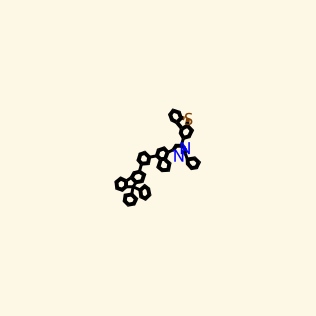 c1ccc(-c2nc(-c3ccc4sc5ccccc5c4c3)cc(-c3ccc(-c4cccc(-c5ccc6c(c5)-c5ccccc5C6(c5ccccc5)c5ccccc5)c4)c4ccccc34)n2)cc1